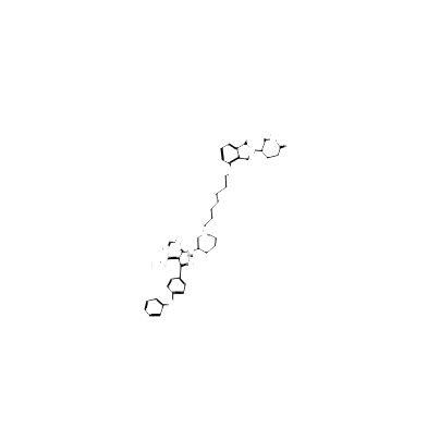 Nc1ncnc2c1c(-c1ccc(Oc3ccccc3)cc1)nn2C1CCCN(CCCCCCCSc2cccc3c2C(=O)N(C2CCC(=O)NC2=O)C3=O)C1